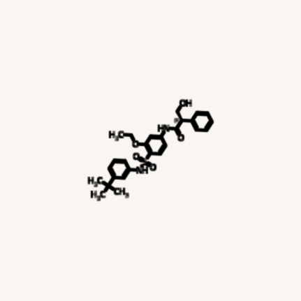 CCOc1cc(NC(=O)[C@@H](CO)c2ccccc2)ccc1S(=O)(=O)Nc1cccc(C(C)(C)C)c1